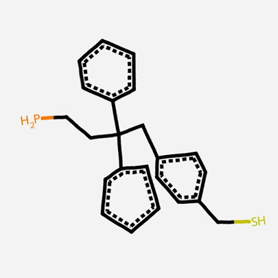 PCCC(Cc1ccc(CS)cc1)(c1ccccc1)c1ccccc1